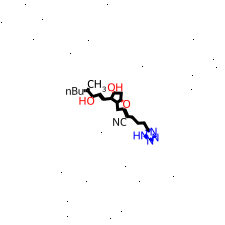 CCCCC(C)C(O)C=CC1C(O)CC2OC(=C(C#N)CCCc3nnn[nH]3)CC21